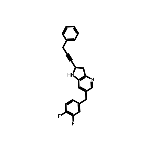 Fc1ccc(Cc2cnc3c(c2)NC(C#CCc2ccccc2)C3)cc1F